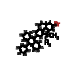 CC1(C)c2cc(Br)cc3ccc4cc(-c5c6ccccc6c(-c6ccccc6)c6ccccc56)cc1c4c23